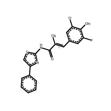 N#C/C(=C\c1cc(F)c(O)c(Cl)c1)C(=O)Nc1nc(-c2ccccc2)cs1